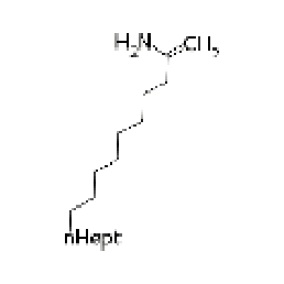 C=C(N)CCCCCCCCCCCCCCC